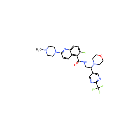 CN1CCN(c2ccc3c(C(=O)NCC(c4cnc(C(F)(F)F)nc4)N4CCOCC4)c(F)ccc3n2)CC1